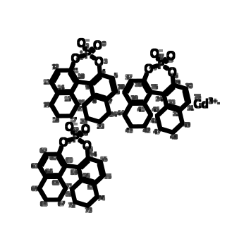 O=P1([O-])Oc2ccc3c(c2-c2c(ccc4c2CCCC4)O1)CCCC3.O=P1([O-])Oc2ccc3c(c2-c2c(ccc4c2CCCC4)O1)CCCC3.O=P1([O-])Oc2ccc3c(c2-c2c(ccc4c2CCCC4)O1)CCCC3.[Gd+3]